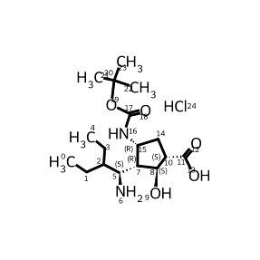 CCC(CC)[C@H](N)[C@H]1[C@H](O)[C@@H](C(=O)O)C[C@H]1NC(=O)OC(C)(C)C.Cl